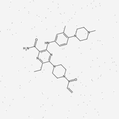 C=CC(=O)N1CCN(c2nc(Nc3ccc(N4CCN(C)CC4)c(C)c3)c(C(N)=O)nc2CC)CC1